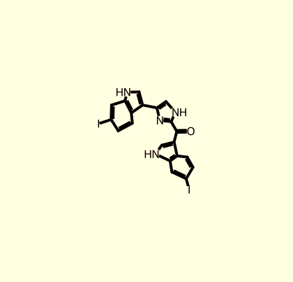 O=C(c1nc(-c2c[nH]c3cc(I)ccc23)c[nH]1)c1c[nH]c2cc(I)ccc12